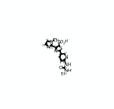 CCNC(=O)Nc1ccc(-c2nc(-c3nccn3C)c(C(=O)O)s2)cn1